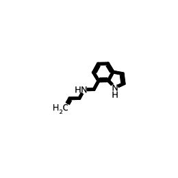 C=CCNCc1cccc2cc[nH]c12